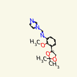 COc1c(N=Cn2ccnc2)cccc1[C@H]1COC(C)(C)O1